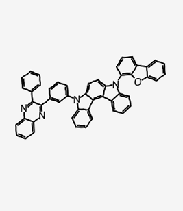 c1ccc(-c2nc3ccccc3nc2-c2cccc(-n3c4ccccc4c4c5c6ccccc6n(-c6cccc7c6oc6ccccc67)c5ccc43)c2)cc1